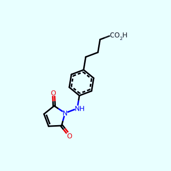 O=C(O)CCCc1ccc(NN2C(=O)C=CC2=O)cc1